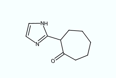 O=C1CCCCCC1c1ncc[nH]1